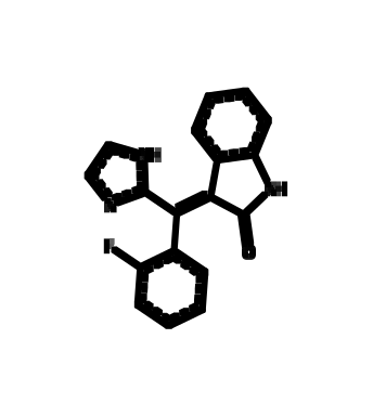 O=C1Nc2ccccc2C1=C(c1ncc[nH]1)c1ccccc1F